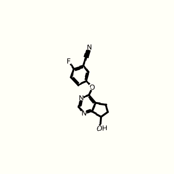 N#Cc1cc(Oc2ncnc3c2CCC3O)ccc1F